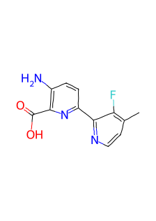 Cc1ccnc(-c2ccc(N)c(C(=O)O)n2)c1F